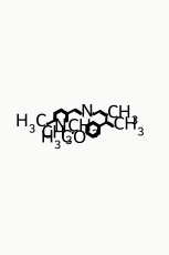 C\C=C(/C(C)=C\C=N\C=C\c1ccc(C(C)C)nc1)c1ccc(OC(C)C)cc1